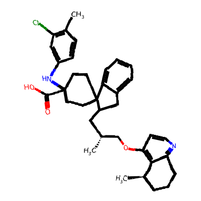 Cc1ccc(NC2(C(=O)O)CCC3(CC2)c2ccccc2CC3C[C@@H](C)COc2ccnc3c2[C@H](C)CCC3)cc1Cl